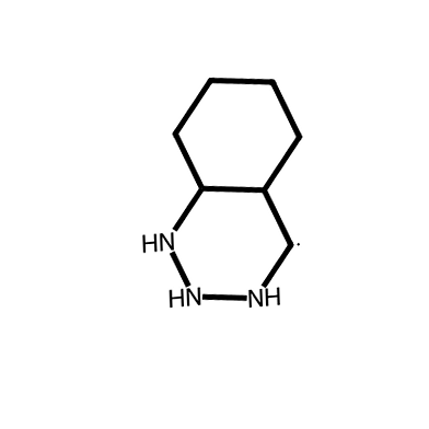 [CH]1NNNC2CCCCC12